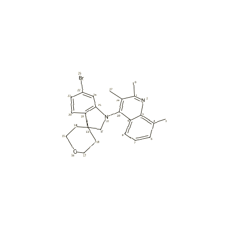 Cc1nc2c(C)cccc2c(N2CC3(CCOCC3)c3ccc(Br)cc32)c1C